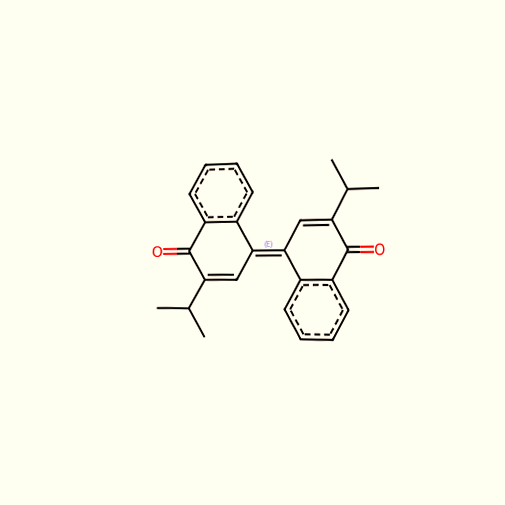 CC(C)C1=C/C(=C2/C=C(C(C)C)C(=O)c3ccccc32)c2ccccc2C1=O